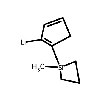 [Li][C]1=C([Si]2(C)CCC2)CC=C1